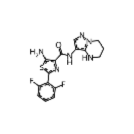 Nc1sc(-c2c(F)cccc2F)nc1C(=O)Nc1cnn2c1NCCC2